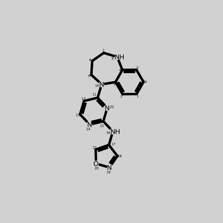 c1ccc2c(c1)NCCCN2c1ccnc(Nc2cnoc2)n1